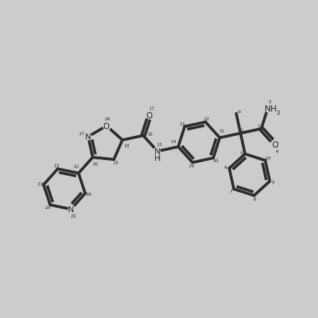 CC(C(N)=O)(c1ccccc1)c1ccc(NC(=O)C2CC(c3cccnc3)=NO2)cc1